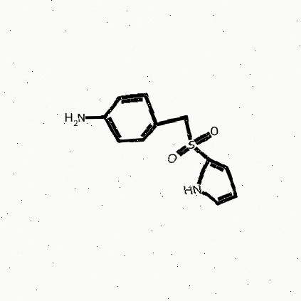 Nc1ccc(CS(=O)(=O)c2ccc[nH]2)cc1